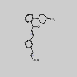 CN1CCN(c2ccccc2C(=O)/C=C/c2cccc(/C=C/C(=O)O)c2)CC1